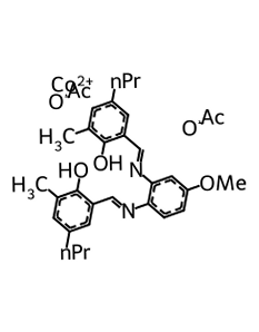 CC(=O)[O-].CC(=O)[O-].CCCc1cc(C)c(O)c(C=Nc2ccc(OC)cc2N=Cc2cc(CCC)cc(C)c2O)c1.[Co+2]